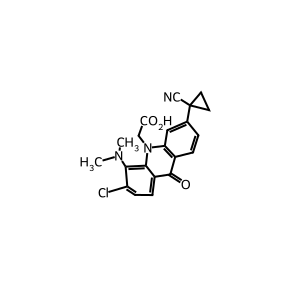 CN(C)c1c(Cl)ccc2c(=O)c3ccc(C4(C#N)CC4)cc3n(CC(=O)O)c12